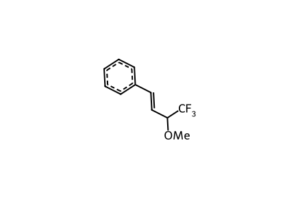 COC(C=Cc1ccccc1)C(F)(F)F